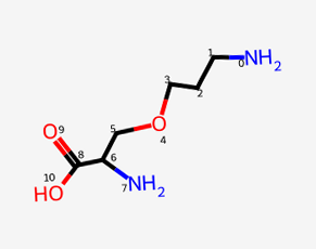 NCCCOCC(N)C(=O)O